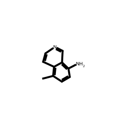 Cc1ccc(N)c2cnccc12